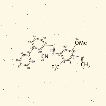 C=Cc1cc(C(F)(F)F)c(/C=C/c2cccc(-c3ccccc3)c2C#N)cc1OC